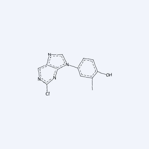 Cc1cc(-n2cnc3cnc(Cl)nc32)ccc1O